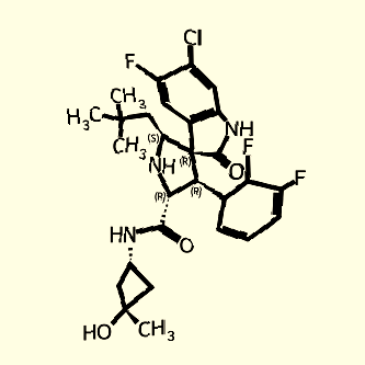 CC(C)(C)C[C@@H]1N[C@@H](C(=O)N[C@H]2C[C@@](C)(O)C2)[C@H](C2C=CC=C(F)C2F)[C@]12C(=O)Nc1cc(Cl)c(F)cc12